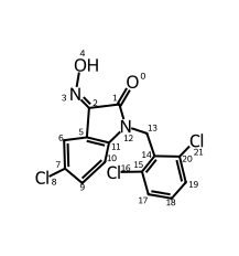 O=C1/C(=N\O)c2cc(Cl)ccc2N1Cc1c(Cl)cccc1Cl